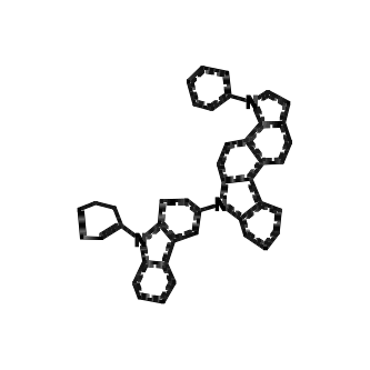 C1=CCCC(n2c3ccccc3c3cc(-n4c5ccccc5c5c6ccc7ccn(-c8ccccc8)c7c6ccc54)ccc32)=C1